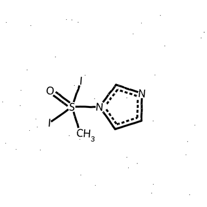 CS(=O)(I)(I)n1ccnc1